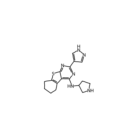 c1n[nH]cc1-c1nc(NC2CCNC2)c2c3c(sc2n1)CCCC3